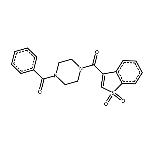 O=C(C1=CS(=O)(=O)c2ccccc21)N1CCN(C(=O)c2ccccc2)CC1